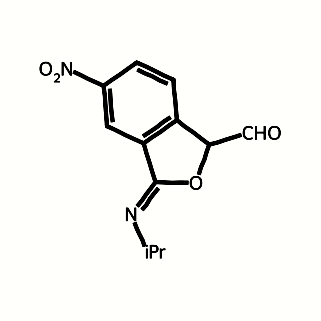 CC(C)N=C1OC(C=O)c2ccc([N+](=O)[O-])cc21